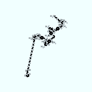 COCCOCCC(=O)N[C@H](C(=O)N[C@@H](C)C(=O)Nc1ccc(COC(=O)N2c3cc(OCCCCCOc4cc5c(cc4OC)C(=O)N4C=C(C)C[C@H]4[C@H](O)N5C(=O)OCc4ccc(NC(=O)[C@H](C)NC(=O)[C@@H](NC(=O)CCOCCOCCOCCOCCOCCOCCOCCOCCNC(=O)CCN5C(=O)C=CC5=O)C(C)C)cc4)c(OC)cc3C(=O)N3C=C(C)C[C@]34CC24O)cc1)C(C)C